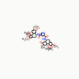 COc1cc2c(c(OC)c1OC)-c1ccc(SC)c(=O)cc1[C@@H](NC(=O)c1cncc(C(=O)N[C@H]3CCc4cc(OC)c(OC)c(OC)c4-c4ccc(SC)c(=O)cc43)c1)CC2